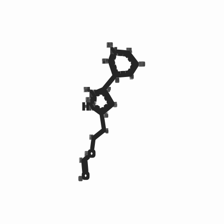 O=COCCc1cc(-c2cccnc2)n[nH]1